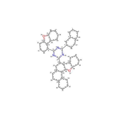 c1ccc2cc(-c3nc(-c4cccc5oc6ccccc6c45)nc(-c4cc5ccc6ccccc6c5c5oc6ccccc6c45)n3)ccc2c1